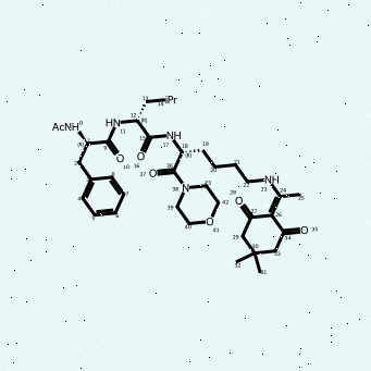 [CH2]C(=O)N[C@H](Cc1ccccc1)C(=O)N[C@H](CC(C)C)C(=O)N[C@H](CCCCNC(C)=C1C(=O)CC(C)(C)CC1=O)C(=O)N1CCOCC1